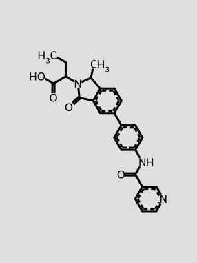 CCC(C(=O)O)N1C(=O)c2cc(-c3ccc(NC(=O)c4cccnc4)cc3)ccc2C1C